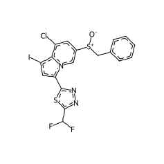 [O-][S+](Cc1ccccc1)c1cc(Cl)c2c(I)cc(-c3nnc(C(F)F)s3)n2c1